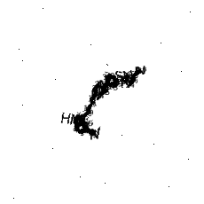 N#Cc1ccc2[nH]cc(CCCCN3CCN(c4ccc(Sc5nccc(C#N)n5)cc4)CC3)c2c1